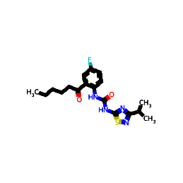 CCCCCC(=O)c1cc(F)ccc1NC(=O)Nc1nc(C(C)C)ns1